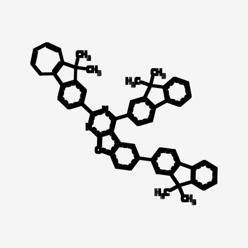 CC1(C)C2=C(CC=CC=C2)c2ccc(-c3nc(-c4ccc5c(c4)C(C)(C)c4ccccc4-5)c4c(n3)oc3ccc(-c5ccc6c(c5)C(C)(C)c5ccccc5-6)cc34)cc21